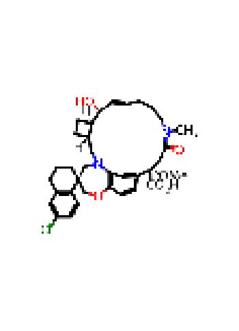 CO[C@@]1(C(=O)O)CC(=O)N(C)CCC/C=C/[C@H](O)[C@@H]2CC[C@H]2CN2C[C@@]3(CCCc4cc(Cl)ccc43)COc3ccc1cc32